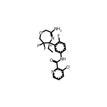 CC[C@]1(c2cc(NC(=O)c3ncccc3Cl)ccc2F)N=C(N)COCC1(F)F